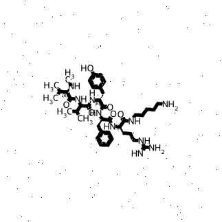 CN[C@@H](C(=O)NC(C(=O)N[C@H](Cc1ccc(O)cc1)C(=O)N[C@H](Cc1ccccc1)C(=O)N[C@H](CCCNC(=N)N)C(=O)NCCCCCN)C(C)C)C(C)C